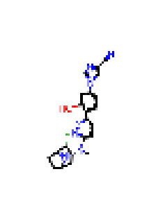 CN(c1ccc(-c2ccc(-n3cnc(C#N)c3)cc2O)nn1)[C@@H]1CC2CCC(N2)[C@@H]1F